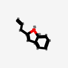 C=C[CH]c1cc2ccccc2o1